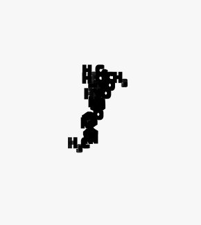 CCC(C)(C)C(=O)NC(=O)Nc1ccc(Oc2ccnc(-c3cnn(C)c3)c2)cn1